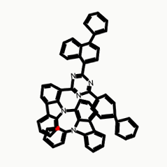 c1ccc(-c2ccc(-c3nc(-c4ccc(-c5ccccc5)c5ccccc45)nc(-c4cccc5c6ccccc6n(-c6cccc7c8ccccc8n(-c8ccccc8)c67)c45)n3)cc2)cc1